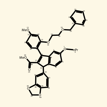 CCCOc1ccc2c(c1)C(c1ccc(OC)cc1OCCOCc1ccccc1)=C(C(=O)OC)C2c1ccc2c(c1)OCO2